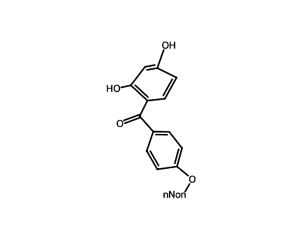 CCCCCCCCCOc1ccc(C(=O)c2ccc(O)cc2O)cc1